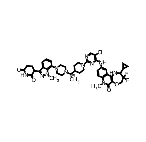 C[C@H](C1CCN(c2ncc(Cl)c(Nc3ccc4c(c3)c3c(c(=O)n4C)OCC(F)(F)C(C4CC4)N3)n2)CC1)N1CCN(c2cccc3c(C4CCC(=O)NC4=O)nn(C)c23)CC1